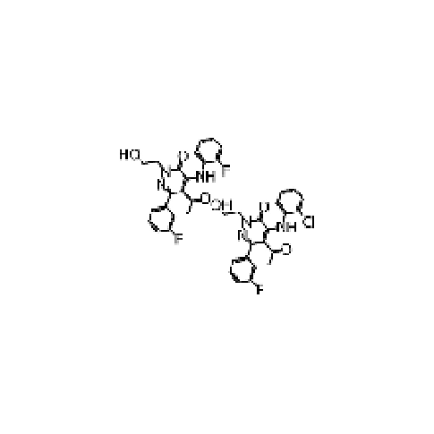 CC(=O)c1c(-c2cccc(F)c2)nn(CCO)c(=O)c1Nc1ccccc1Cl.CC(=O)c1c(-c2cccc(F)c2)nn(CCO)c(=O)c1Nc1ccccc1F